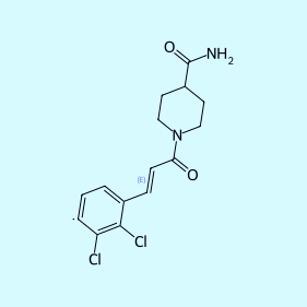 NC(=O)C1CCN(C(=O)/C=C/c2cc[c]c(Cl)c2Cl)CC1